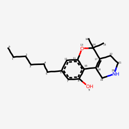 CCCCCCc1cc(O)c2c(c1)OC(C)(C)C1=C2CNCC1